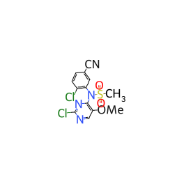 COc1cnc(Cl)nc1N(c1cc(C#N)ccc1Cl)S(C)(=O)=O